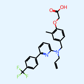 C=CCN(Cc1ccc(OCC(=O)O)c(C)c1)c1cccc(-c2ccc(C(F)(F)F)cc2)n1